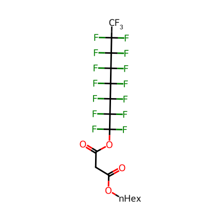 CCCCCCOC(=O)CC(=O)OC(F)(F)C(F)(F)C(F)(F)C(F)(F)C(F)(F)C(F)(F)C(F)(F)C(F)(F)F